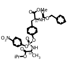 COC(=O)[C@H](Cc1ccc(OP(=O)(N[C@@H](C)C(=O)OC(C)C)Oc2ccc([N+](=O)[O-])cc2)cc1)NC(=O)OCc1ccccc1